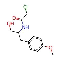 COc1ccc(CC(CO)NC(=O)CCl)cc1